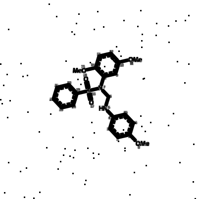 COc1ccc(NCN(c2cc(OC)ccc2OC)S(=O)(=O)c2ccccc2)cc1